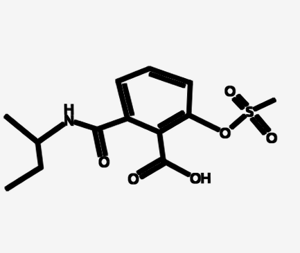 CCC(C)NC(=O)c1cccc(OS(C)(=O)=O)c1C(=O)O